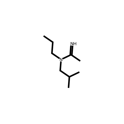 CCCN(CC(C)C)C(C)=N